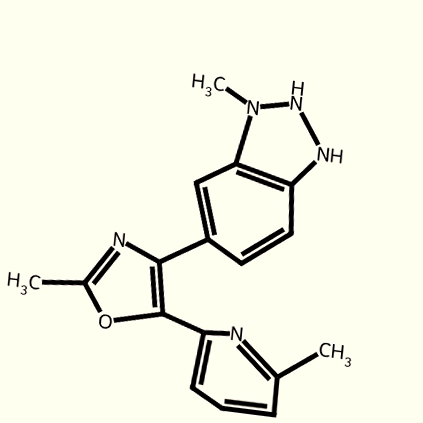 Cc1cccc(-c2oc(C)nc2-c2ccc3c(c2)N(C)NN3)n1